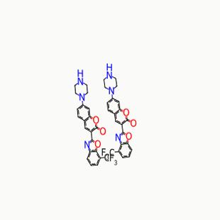 O=c1oc2cc(N3CCNCC3)ccc2cc1-c1nc2c(C(F)(F)F)cccc2o1.O=c1oc2cc(N3CCNCC3)ccc2cc1-c1nc2cccc(C(F)(F)F)c2o1